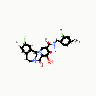 Cc1ccc(CNC(=O)c2cn3c(c(O)c2=O)C(=O)N2CCc4cc(F)c(F)cc4C3C2)c(F)c1